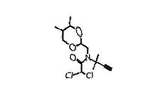 C#CC(C)(C)N(CC1OCC(C)C(C)O1)C(=O)C(Cl)Cl